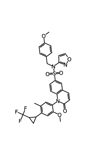 COc1ccc(CN(c2ccon2)S(=O)(=O)c2ccc3c(ccc(=O)n3-c3cc(C)c(C4CC4C(F)(F)F)cc3OC)c2)cc1